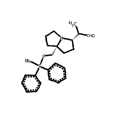 CC(C=O)[C@@H]1CC[C@@]2(CO[Si](c3ccccc3)(c3ccccc3)C(C)(C)C)CCCN12